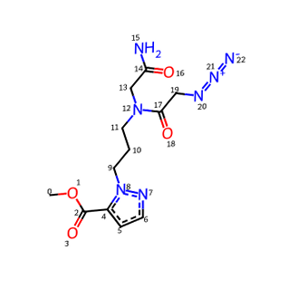 COC(=O)c1ccnn1CCCN(CC(N)=O)C(=O)CN=[N+]=[N-]